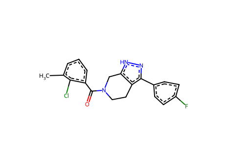 Cc1cccc(C(=O)N2CCc3c(-c4ccc(F)cc4)n[nH]c3C2)c1Cl